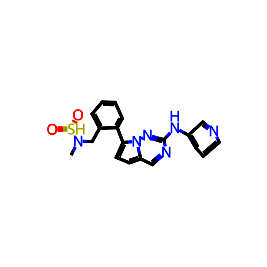 CN(Cc1ccccc1-c1ccc2cnc(Nc3cccnc3)nn12)[SH](=O)=O